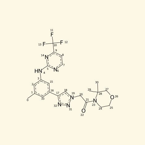 Cc1cc(Nc2nccc(C(F)(F)F)n2)cc(-c2cn(CC(=O)N3CCOCC3(C)C)nn2)c1